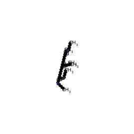 CCCCCC/C=C\COC(CCCCCCCCCC(CCCCCCCCCC(=O)OC(C)/C=C\CCCCCC)OC(=O)CCCN(C)C)OC/C=C\CCCCCC